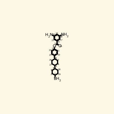 BC1CCC(C2CCC(c3ccc(OC(=O)c4cc(N)cc(N)c4)cc3)CC2)CC1